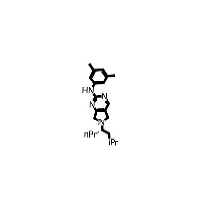 CCC[C@@H](CC(C)C)N1Cc2cnc(Nc3cc(C)cc(C)c3)nc2C1